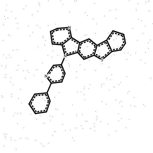 c1ccc(-c2ccc(-n3c4cc5sc6ccccc6c5cc4c4ncccc43)cn2)cc1